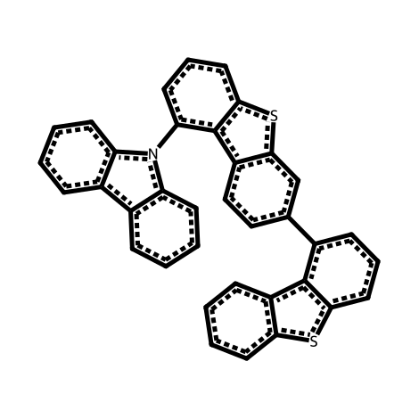 c1ccc2c(c1)sc1cccc(-c3ccc4c(c3)sc3cccc(-n5c6ccccc6c6ccccc65)c34)c12